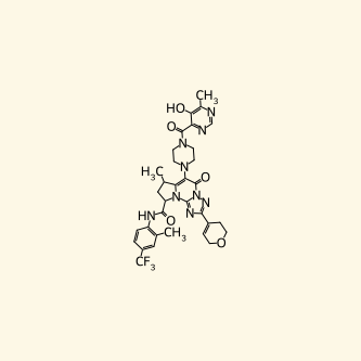 Cc1cc(C(F)(F)F)ccc1NC(=O)C1CC(C)c2c(N3CCN(C(=O)c4ncnc(C)c4O)CC3)c(=O)n3nc(C4=CCOCC4)nc3n21